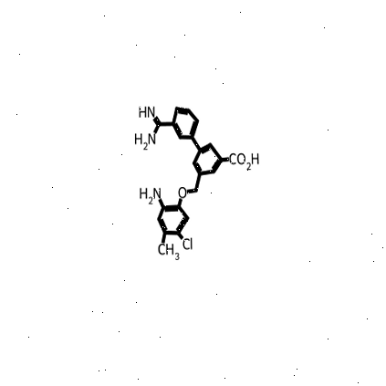 Cc1cc(N)c(OCc2cc(C(=O)O)cc(-c3cccc(C(=N)N)c3)c2)cc1Cl